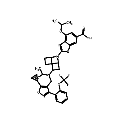 CC(C)Oc1cc(C(=O)O)cc2sc(N3C4CCC45C(N(Cc4c(-c6ccccc6OC(F)(F)F)noc4C4CC4)C(C)C)CC35)nc12